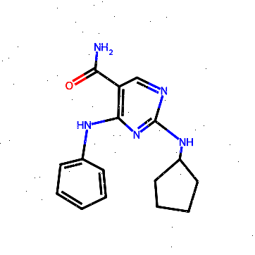 NC(=O)c1cnc(NC2CCCC2)nc1Nc1ccccc1